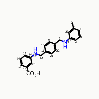 Cc1cccc(NCc2ccc(CNc3cccc(C(=O)O)c3)cc2)c1